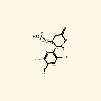 C=C1CO[C@@H](c2cc(F)c(F)cc2F)[C@@H](NC(=O)O)C1